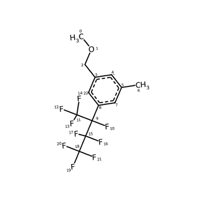 COCc1[c]c(C)cc(C(F)(C(F)(F)F)C(F)(F)C(F)(F)F)c1